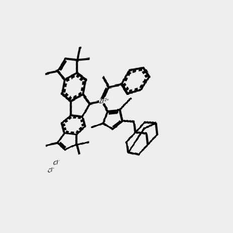 CC1=CC(C)(C)c2cc3c(cc21)-c1cc2c(cc1[CH]3/[Zr+2]([C]1=C(C)C(CC34CC5CC(CC(C5)C3)C4)=CC1C)=[C](\C)c1ccccc1)C(C)(C)C=C2C.[Cl-].[Cl-]